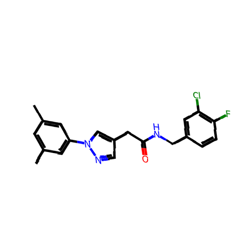 Cc1cc(C)cc(-n2cc(CC(=O)NCc3ccc(F)c(Cl)c3)cn2)c1